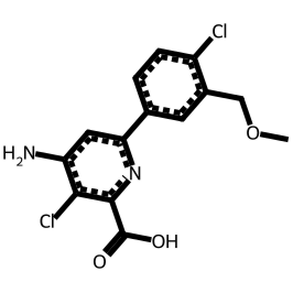 COCc1cc(-c2cc(N)c(Cl)c(C(=O)O)n2)ccc1Cl